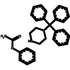 NC(=O)Oc1ccccc1.c1ccc(C(c2ccccc2)(c2ccccc2)N2CCNCC2)cc1